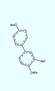 COc1ccc(-c2ccc(OC)c(N=O)c2)cc1